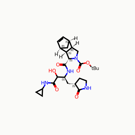 CC(C)(C)OC(=O)N1C[C@H]2[C@@H]([C@H]1C(=O)N[C@@H](C[C@@H]1CCNC1=O)C(O)C(=O)NC1CC1)[C@H]1C=C[C@@H]2C1